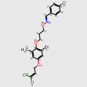 CCc1cc(OCC=C(Cl)Cl)cc(C)c1OCCCON=Cc1ccc(Cl)cc1